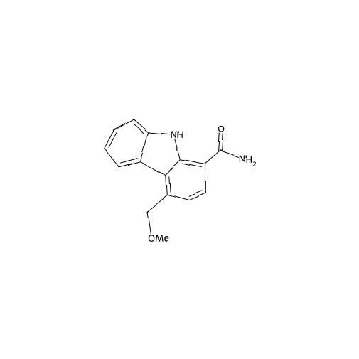 COCc1ccc(C(N)=O)c2[nH]c3ccccc3c12